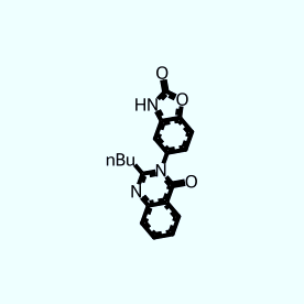 CCCCc1nc2ccccc2c(=O)n1-c1ccc2oc(=O)[nH]c2c1